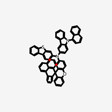 c1ccc2c(c1)Oc1ccc(N(c3ccc4c(c3)sc3ccccc34)c3ccc4c(c3)c3ccccc3n4-c3cccc4ccccc34)cc1C21c2ccccc2-c2cccc3cccc1c23